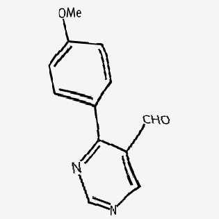 COc1ccc(-c2ncncc2C=O)cc1